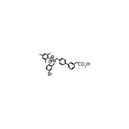 Cc1cc(C)c(S(=O)(=O)N(Cc2ccc(-c3cccc(CC(=O)O)c3)cc2)Cc2cccc(Br)c2)c(C)c1